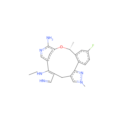 CCN/C1=C(\C=N)Cc2cn(C)nc2-c2ccc(F)cc2[C@@H](C)Oc2cc1cnc2N